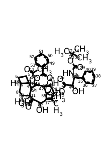 CC(=O)O[C@@]12CC[C@@H]1C[C@H](O)[C@@]1(C)C(=O)[C@H](O)C3=C(C)[C@@H](OC(=O)[C@H](O)[C@@H](NC(=O)OC(C)(C)C)c4ccccc4)C[C@@](O)([C@@H](OC(=O)c4ccccc4)[C@H]21)C3(C)C